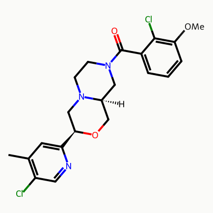 COc1cccc(C(=O)N2CCN3C[C@H](c4cc(C)c(Cl)cn4)OC[C@@H]3C2)c1Cl